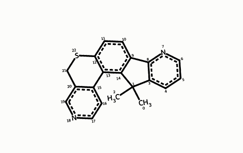 CC1(C)c2cccnc2-c2ccc3c(c21)-c1ccncc1CS3